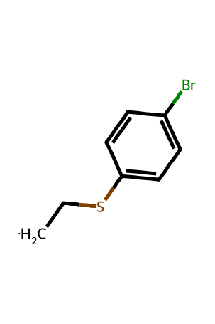 [CH2]CSc1ccc(Br)cc1